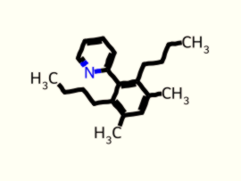 CCCCc1c(C)cc(C)c(CCCC)c1-c1ccccn1